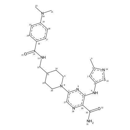 Cc1cc(Nc2nc(N3CCC(CNC(=O)c4ccc(N(C)C)cc4)CC3)cnc2C(N)=O)sn1